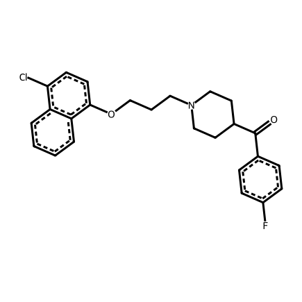 O=C(c1ccc(F)cc1)C1CCN(CCCOc2ccc(Cl)c3ccccc23)CC1